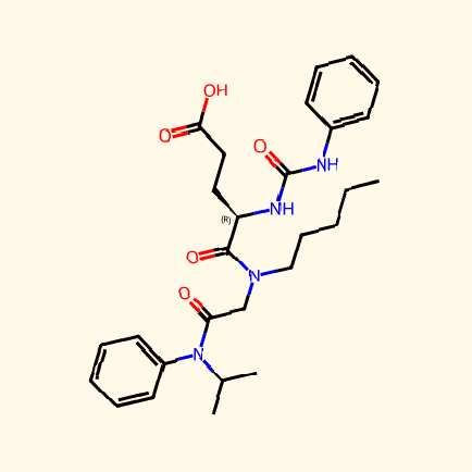 CCCCCN(CC(=O)N(c1ccccc1)C(C)C)C(=O)[C@@H](CCC(=O)O)NC(=O)Nc1ccccc1